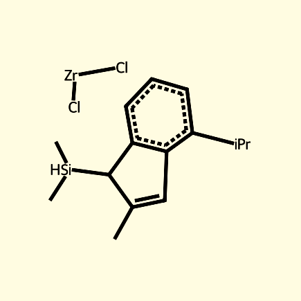 CC1=Cc2c(C(C)C)cccc2C1[SiH](C)C.[Cl][Zr][Cl]